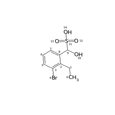 CCc1c(Br)cccc1C(O)S(=O)(=O)O